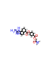 CN(C)C(=O)COC(=O)c1ccc(OC(=O)C2CCCc3c(NC(=N)N)cccc32)cc1